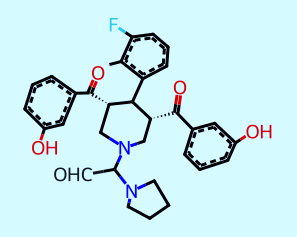 Cc1c(F)cccc1C1[C@@H](C(=O)c2cccc(O)c2)CN(C(C=O)N2CCCC2)C[C@H]1C(=O)c1cccc(O)c1